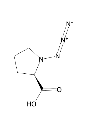 [N-]=[N+]=NN1CCC[C@@H]1C(=O)O